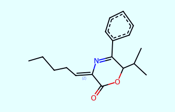 CCCC/C=C1\N=C(c2ccccc2)C(C(C)C)OC1=O